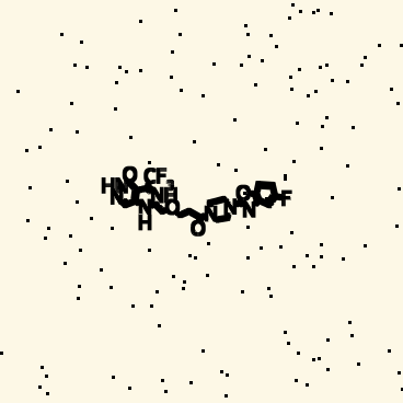 N=C(c1c(NCCOCCC(=O)N2CCN(c3nc4cc(F)ccc4o3)CC2)cn[nH]c1=O)C(F)(F)F